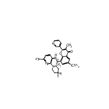 Cc1cc([C@@H](C)Nc2ccc(Cl)nc2N2CCC(F)(F)CC2)c2oc(-c3cccnc3)c(C)c(=O)c2c1